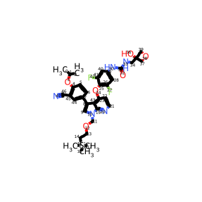 CC(C)Oc1ccc(-c2cn(COCC[Si](C)(C)C)c3nccc(Oc4c(F)cc(NC(=O)NCC5(O)COC5)cc4F)c23)cc1C#N